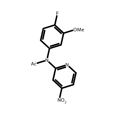 COc1cc(N(C(C)=O)c2cc([N+](=O)[O-])ccn2)ccc1F